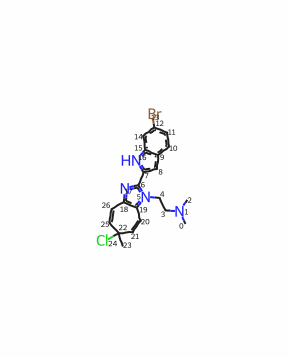 CN(C)CCn1c(-c2cc3ccc(Br)cc3[nH]2)nc2c1C=CC(C)(Cl)C=C2